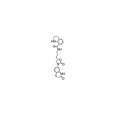 O=C1CSc2ccc(N3C[C@@H](CCCNC(=O)c4cccc5c4NCCC5)OC3=O)cc2N1